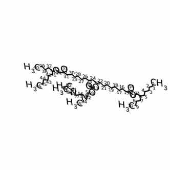 CCCCCCC(CCCC)COC(=O)CCCCCCCCC(CCCCCCCCC(=O)COC(CCCC)CCCCCC)OC(=O)OCCN(CC)CCN(CC)CC